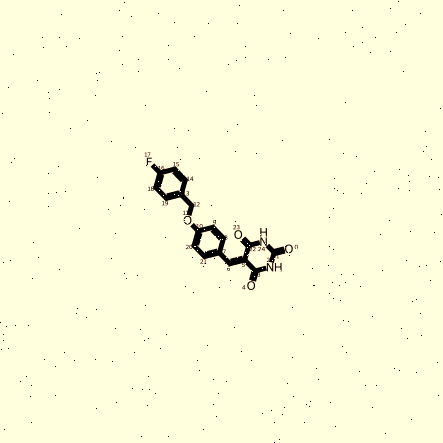 O=C1NC(=O)C(=Cc2ccc(OCc3ccc(F)cc3)cc2)C(=O)N1